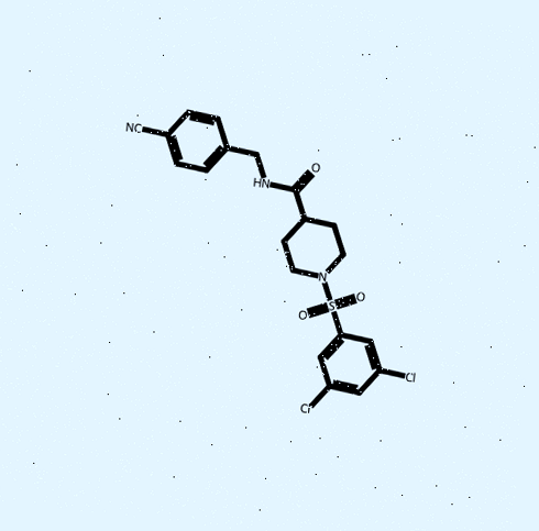 N#Cc1ccc(CNC(=O)C2CCN(S(=O)(=O)c3cc(Cl)cc(Cl)c3)CC2)cc1